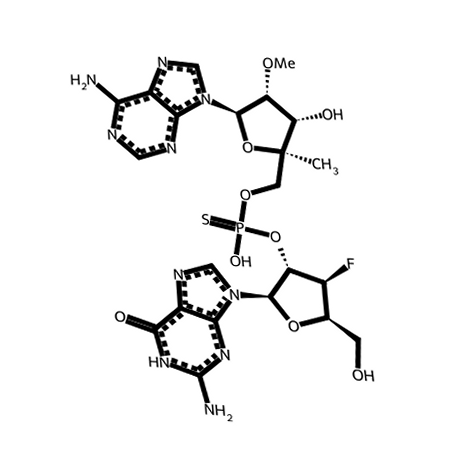 CO[C@H]1[C@H](n2cnc3c(N)ncnc32)O[C@](C)(COP(O)(=S)O[C@@H]2[C@@H](F)[C@@H](CO)O[C@H]2n2cnc3c(=O)[nH]c(N)nc32)[C@H]1O